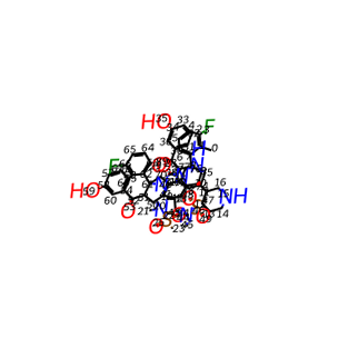 Cc1c(F)cccc1C12CC(C3CCCNC3)C(CCN(C)S(C)(=O)=O)(CC1C(=O)c1cccc(O)c1)N2C(=O)N1C2(CCN(C)S(C)(=O)=O)CC(C(=O)c3cccc(O)c3)C1(c1cccc(F)c1C)CC2C1CCCNC1